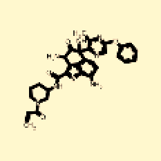 C=CC(=O)N1CCCC(NC(=O)c2sc3c(N)ccc4c3c2C(N)C(=O)C4(N)c2ncc(Oc3ccccc3)nc2C)C1